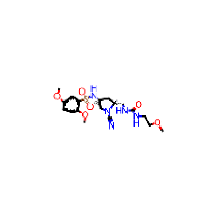 COCCNC(=O)NC[C@H]1C[C@@H](NS(=O)(=O)c2cc(OC)ccc2OC)CN1C#N